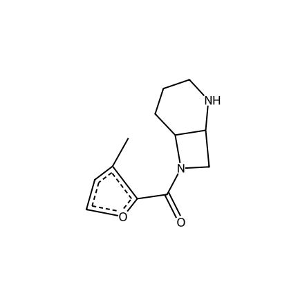 Cc1ccoc1C(=O)N1CC2NCCCC21